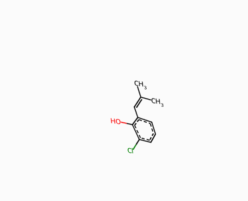 CC(C)=Cc1cccc(Cl)c1O